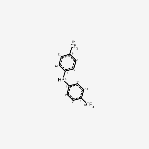 FC(F)(F)c1ccc(Pc2ccc(C(F)(F)F)cc2)cc1